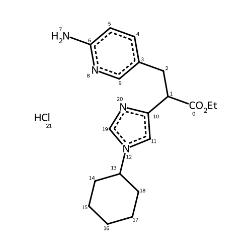 CCOC(=O)C(Cc1ccc(N)nc1)c1cn(C2CCCCC2)cn1.Cl